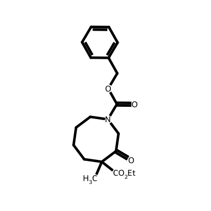 CCOC(=O)C1(C)CCCCN(C(=O)OCc2ccccc2)CC1=O